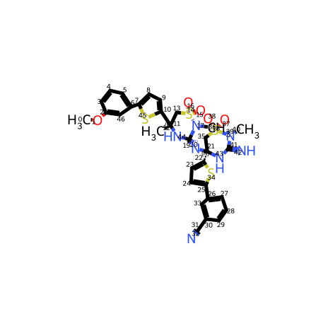 COc1cccc(-c2ccc([C@]3(C)CS(=O)(=O)N(C)/C(=N\[C@@]4(c5ccc(-c6cccc(C#N)c6)s5)CS(=O)(=O)N(C)C(=N)N4)N3)s2)c1